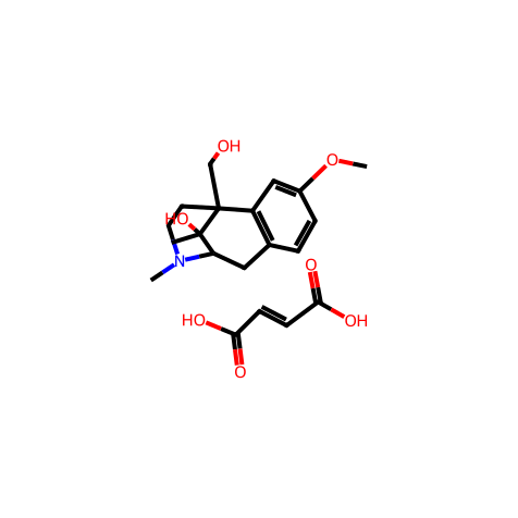 COc1ccc2c(c1)C1(CO)CCN(C)C(C2)C1(C)O.O=C(O)/C=C/C(=O)O